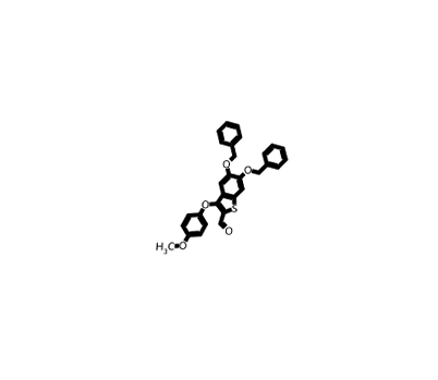 COc1ccc(Oc2c(C=O)sc3cc(OCc4ccccc4)c(OCc4ccccc4)cc23)cc1